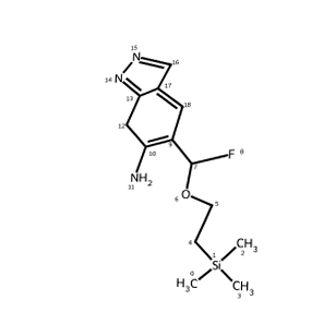 C[Si](C)(C)CCOC(F)C1=C(N)CC2=NN=CC2=C1